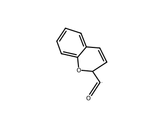 O=[C]C1C=Cc2ccccc2O1